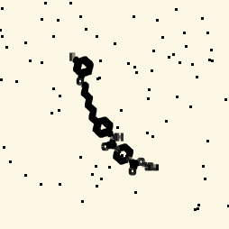 CC(C)(C)OC(=O)N1CCN(C(=O)Nc2ccc(CCCCCCOc3cccc(F)c3)cc2)CC1